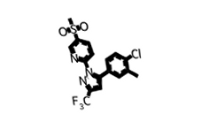 Cc1cc(-c2cc(C(F)(F)F)nn2-c2ccc(S(C)(=O)=O)cn2)ccc1Cl